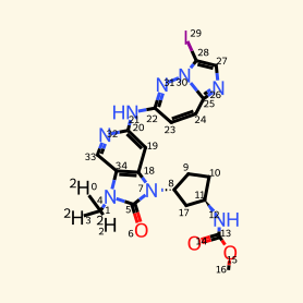 [2H]C([2H])([2H])n1c(=O)n([C@@H]2CC[C@@H](NC(=O)OC)C2)c2cc(Nc3ccc4ncc(I)n4n3)ncc21